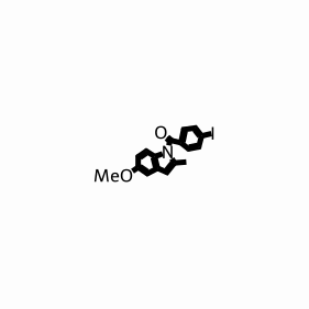 COc1ccc2c(c1)cc(C)n2C(=O)c1ccc(I)cc1